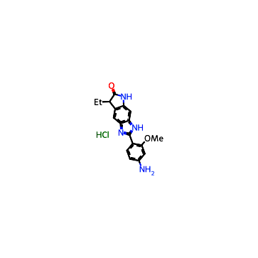 CCC1C(=O)Nc2cc3[nH]c(-c4ccc(N)cc4OC)nc3cc21.Cl